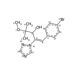 COC(C)(C)C(O)/C(=C\c1ccc(Br)cc1)n1cncn1